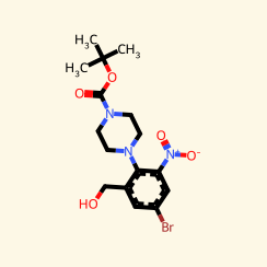 CC(C)(C)OC(=O)N1CCN(c2c(CO)cc(Br)cc2[N+](=O)[O-])CC1